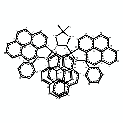 CC1(C)O[C@@H](C(OCc2ccccc2)(c2ccc3ccc4cccc5ccc2c3c45)c2ccc3ccc4cccc5ccc2c3c45)[C@H]([C@@](OCc2ccccc2)(C2=C3C=CC4=C5C(=CC=C(C=C2)C35)CC=C4)c2ccc3ccc4cccc5ccc2c3c45)O1